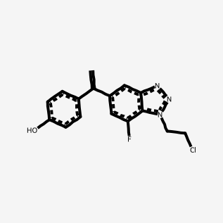 C=C(c1ccc(O)cc1)c1cc(F)c2c(c1)nnn2CCCl